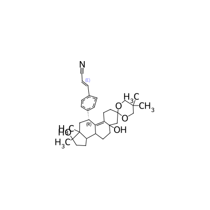 CC1(C)COC2(CCC3=C4C(CCC3(O)C2)C2CCC(C)(O)C2(C)C[C@@H]4c2ccc(/C=C/C#N)cc2)OC1